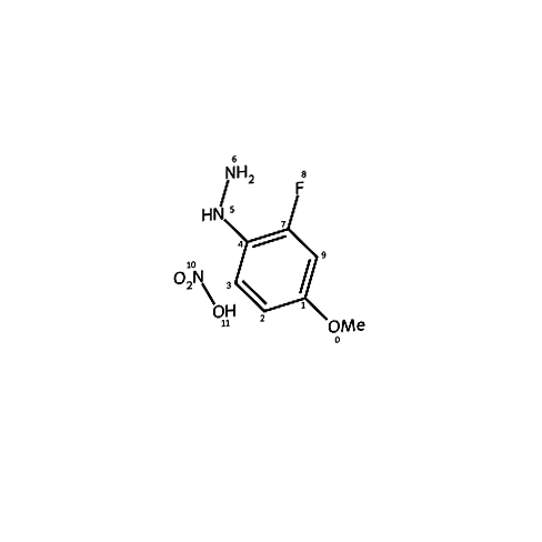 COc1ccc(NN)c(F)c1.O=[N+]([O-])O